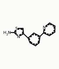 Nc1nc(-c2cccc(-c3ccccn3)c2)cs1